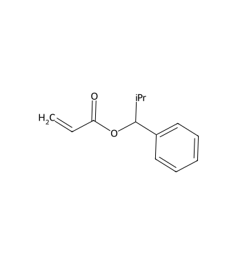 C=CC(=O)OC(c1ccccc1)C(C)C